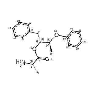 C[C@H](N)C(=O)O[C@H](Cc1ccccc1)[C@H](C)Oc1ccccc1